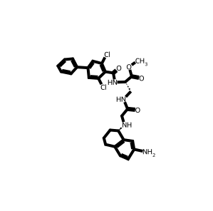 COC(=O)[C@H](CNC(=O)CN[C@H]1CCCc2ccc(N)cc21)NC(=O)c1c(Cl)cc(-c2ccccc2)cc1Cl